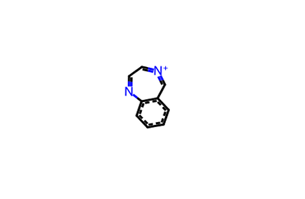 C1=Nc2ccccc2C=[N+]=C1